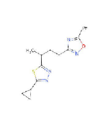 CC(C)c1nc(CCC(C)c2nnc(C3CC3)s2)no1